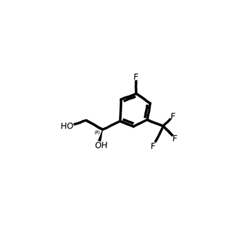 OC[C@H](O)c1cc(F)cc(C(F)(F)F)c1